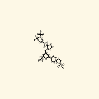 CS(=O)(=O)N1CCC2(CCN(c3cc(CN4CCCC45CN(C(=O)OC(C(F)(F)F)C(F)(F)F)C5)cc(C(F)(F)F)c3)CC2)C1